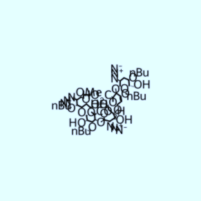 CCCCOC1=C[C@H](O[C@@H]2C(CO)O[C@H](O[C@@H]3C(C(=O)O)O[C@@H](O[C@@H]4C(CO)O[C@H](OC)C(N=[N+]=[N-])[C@H]4OCCCC)[C@@H](O)C3OCCCC)C(N=[N+]=[N-])[C@H]2O)O[C@@H](C(=O)O)[C@H]1O[C@H]1O[C@@H](CO)[C@@H](OCCCC)C[C@@H]1N=[N+]=[N-]